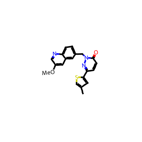 COc1cnc2ccc(Cn3nc(-c4cc(C)cs4)ccc3=O)cc2c1